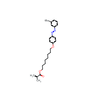 C=C(C)C(=O)OCCCCCCCCOc1ccc(/N=N/c2cccc(C(C)(C)C)c2)cc1